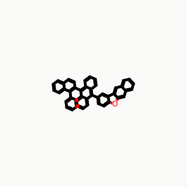 c1ccc(-c2c(-c3c4ccccc4c(-c4ccc5oc6cc7ccccc7cc6c5c4)c4ccccc34)ccc3ccccc23)cc1